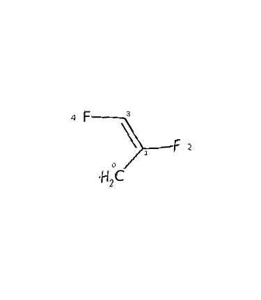 [CH2]/C(F)=C\F